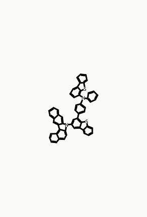 c1ccc(N(c2ccc(-c3cc(-n4c5cc6ccccc6cc5c5c6ccccc6ccc54)cc4c3sc3ccccc34)cc2)c2cccc3c2sc2ccccc23)cc1